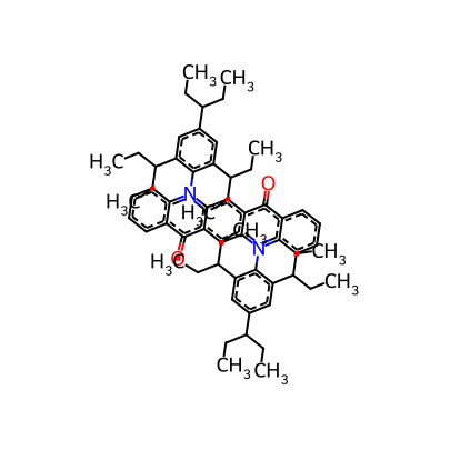 CCC(CC)c1cc(C(CC)CC)c(-n2c3ccccc3c(=O)c3cc4c(cc32)c(=O)c2ccccc2n4-c2c(C(CC)CC)cc(C(CC)CC)cc2C(CC)CC)c(C(CC)CC)c1